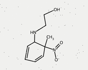 CC1([N+](=O)[O-])C=CC=CC1NCCO